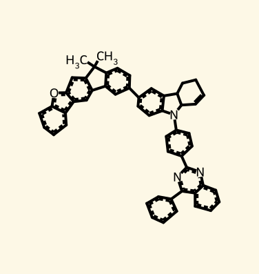 CC1(C)c2ccc(-c3ccc4c(c3)C3CCC=CC3N4c3ccc(-c4nc(-c5ccccc5)c5ccccc5n4)cc3)cc2-c2cc3c(cc21)oc1ccccc13